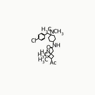 CC(=O)C1CC(N)(CC(=O)NC2CCC(Cc3ccc(Cl)cc3)(N(C)C)CC2)C1(C)C